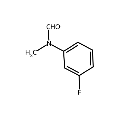 CN([C]=O)c1cccc(F)c1